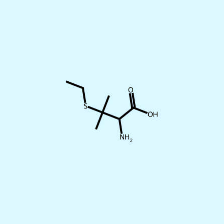 CCSC(C)(C)C(N)C(=O)O